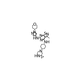 Cc1nsc2nc(Nc3cnn(C4CCOCC4)c3)nc(N[C@H]3CC[C@H](N4CCNC5(CC5)C4)CC3)c12